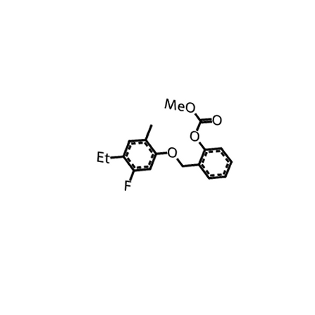 CCc1cc(C)c(OCc2ccccc2OC(=O)OC)cc1F